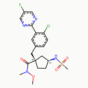 CON(C)C(=O)[C@@]1(Cc2ccc(Cl)c(-c3ncc(F)cn3)c2)CC[C@H](NS(C)(=O)=O)C1